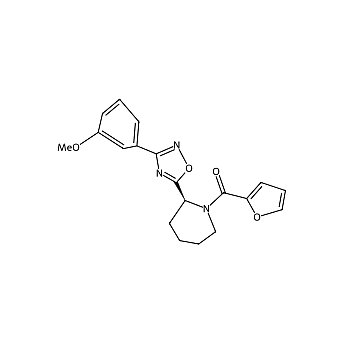 COc1cccc(-c2noc([C@@H]3CCCCN3C(=O)c3ccco3)n2)c1